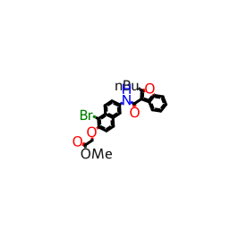 CCCCc1oc2ccccc2c1C(=O)Nc1ccc2c(Br)c(OCC(=O)OC)ccc2c1